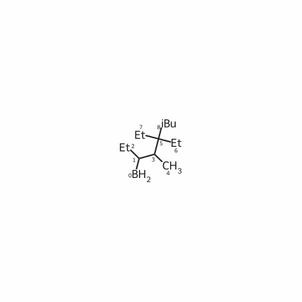 BC(CC)C(C)C(CC)(CC)C(C)CC